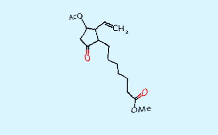 C=CC1C(OC(C)=O)CC(=O)C1CCCCCCC(=O)OC